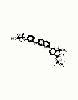 CC(C)(C)OC(=O)N1CCN(c2cnc3ccc(Oc4cccc(NC(=O)C(C)(C)C)c4)cc3n2)CC1C(C)(C)C